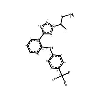 CC(CN)n1nnc(-c2ccccc2Nc2ccc(C(F)(F)F)cc2)n1